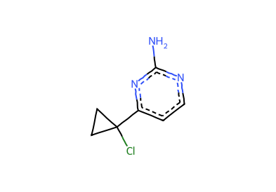 Nc1nccc(C2(Cl)CC2)n1